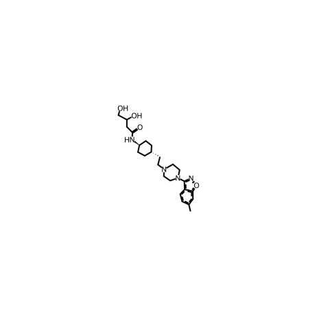 Cc1ccc2c(N3CCN(CC[C@H]4CC[C@H](NC(=O)CC(O)CO)CC4)CC3)noc2c1